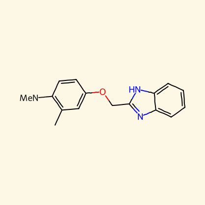 CNc1ccc(OCc2nc3ccccc3[nH]2)cc1C